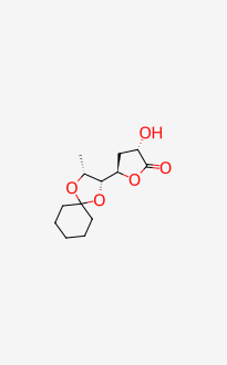 C[C@H]1OC2(CCCCC2)O[C@H]1[C@H]1C[C@H](O)C(=O)O1